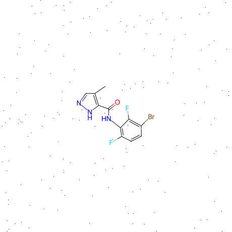 Cc1cn[nH]c1C(=O)Nc1c(F)ccc(Br)c1F